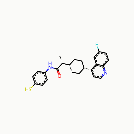 C[C@@H](C(=O)Nc1ccc(S)cc1)[C@H]1CC[C@@H](c2ccnc3ccc(F)cc32)CC1